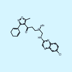 CCC[C@H](CCC(=O)c1c(C2=CCCC=C2)noc1C)CNc1cnc2cc(Cl)ccc2n1